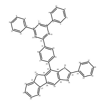 c1ccc(-c2nc(-c3ccccc3)nc(-c3ccc(-c4c5oc6ccccc6c5cc5nc(-c6ccccc6)sc45)cc3)n2)cc1